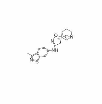 Cc1nsc2cc(NC3=NO[C@@]4(C3)CN3CCC4CC3)ccc12